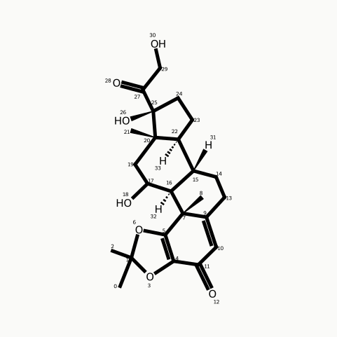 CC1(C)OC2=C(O1)[C@@]1(C)C(=CC2=O)CC[C@@H]2[C@@H]1C(O)C[C@@]1(C)[C@H]2CC[C@@]1(O)C(=O)CO